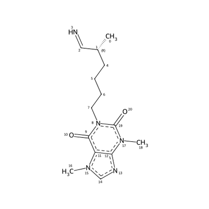 C[C@@H](C=N)CCCCn1c(=O)c2c(ncn2C)n(C)c1=O